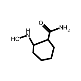 NC(=O)C1CCCCC1NO